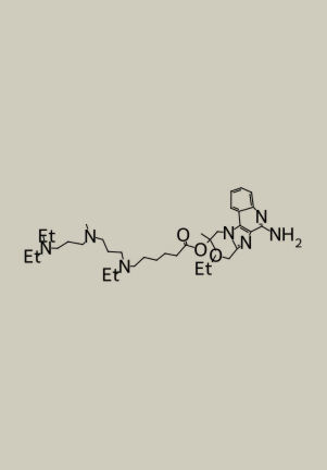 CCOCc1nc2c(N)nc3ccccc3c2n1CC(C)(C)OC(=O)CCCCCN(CC)CCCN(C)CCCN(CC)CC